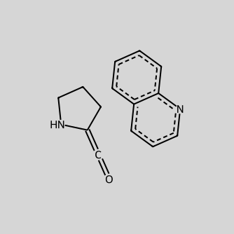 O=C=C1CCCN1.c1ccc2ncccc2c1